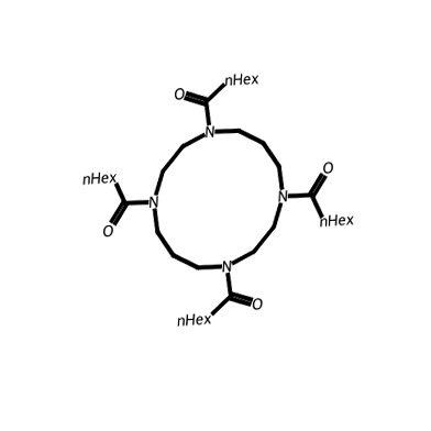 CCCCCCC(=O)N1CCCN(C(=O)CCCCCC)CCN(C(=O)CCCCCC)CCCN(C(=O)CCCCCC)CC1